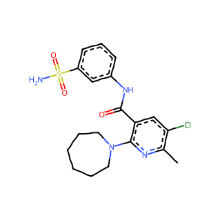 Cc1nc(N2CCCCCC2)c(C(=O)Nc2cccc(S(N)(=O)=O)c2)cc1Cl